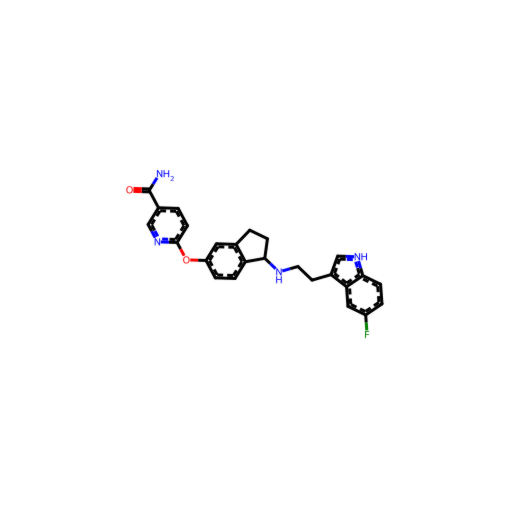 NC(=O)c1ccc(Oc2ccc3c(c2)CCC3NCCc2c[nH]c3ccc(F)cc23)nc1